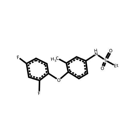 CCS(=O)(=O)Nc1ccc(Oc2ccc(F)cc2F)c(C)c1